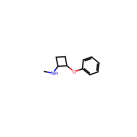 CNC1CCC1Oc1ccccc1